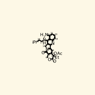 CC[C@@]1(OC(C)=O)C(=O)OCc2c1cc1n(c2=O)Cc2c-1nc1cccc(N)c1c2NCCC(C)C